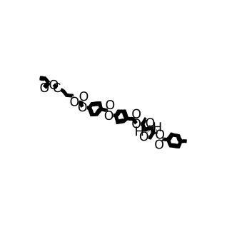 C=CC(=O)OCCCCOC(=O)Oc1ccc(C(=O)Oc2ccc(C(=O)OC3CO[C@@H]4[C@@H](OC(=O)c5ccc(C)cc5)CO[C@H]34)cc2)cc1